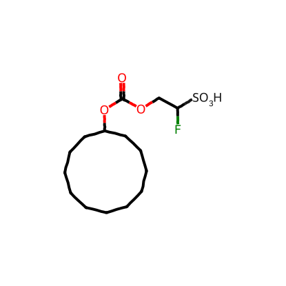 O=C(OCC(F)S(=O)(=O)O)OC1CCCCCCCCCCC1